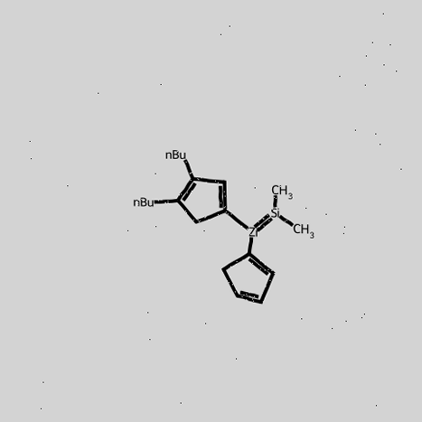 CCCCC1=C(CCCC)C[C]([Zr]([C]2=CC=CC2)=[Si](C)C)=C1